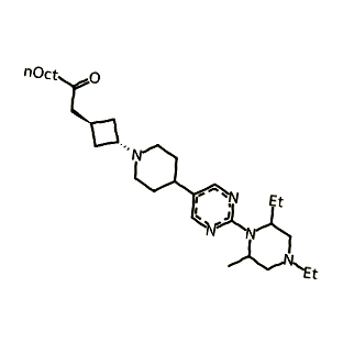 CCCCCCCCC(=O)C[C@H]1C[C@H](N2CCC(c3cnc(N4C(C)CN(CC)CC4CC)nc3)CC2)C1